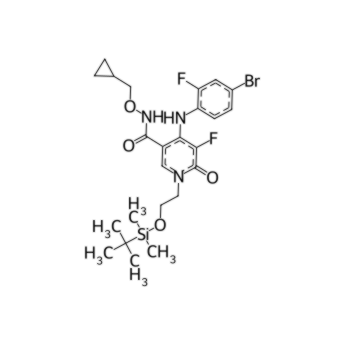 CC(C)(C)[Si](C)(C)OCCn1cc(C(=O)NOCC2CC2)c(Nc2ccc(Br)cc2F)c(F)c1=O